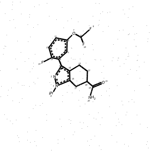 CC(C)n1nc(-c2cc(OC(F)F)ccc2F)c2c1CC(C(N)=O)CC2